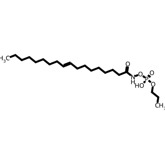 CCCCCCCCC=CCCCCCCCC(=O)NOP(=O)(O)OCCC